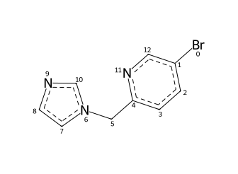 Brc1ccc(Cn2ccnc2)nc1